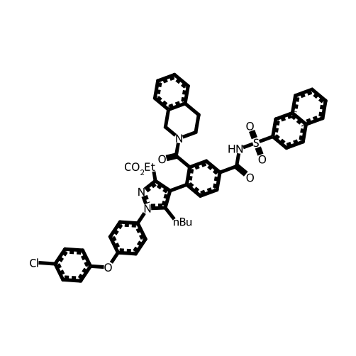 CCCCc1c(-c2ccc(C(=O)NS(=O)(=O)c3ccc4ccccc4c3)cc2C(=O)N2CCc3ccccc3C2)c(C(=O)OCC)nn1-c1ccc(Oc2ccc(Cl)cc2)cc1